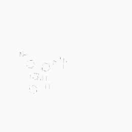 CCCCCCCCCCCCNC(=O)/C=C/c1ccc(-c2[nH]c(-c3ccccc3O)nc2-c2ccc(C3=NOC(C(=O)O)C3)cc2)cc1